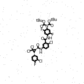 CC(C)(C)OC(=O)N(C(=O)OC(C)(C)C)c1cc(F)c(NC(=O)c2cc(NC(=O)[C@H]3[C@H](c4ccc(F)c(Cl)c4)C3(Cl)Cl)ccc2Cl)cc1F